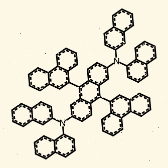 c1ccc2cc(N(c3ccc4c(-c5cc6ccccc6c6ccccc56)c5cc(N(c6ccc7ccccc7c6)c6cccc7ccccc67)ccc5c(-c5cc6ccccc6c6ccccc56)c4c3)c3cccc4ccccc34)ccc2c1